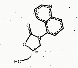 O=C1O[C@@H](CO)CN1c1cccc2ncccc12